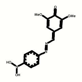 COC1=CC(=CN=Nc2ccc(N(O)O)cc2)C=C(OC)C1=O